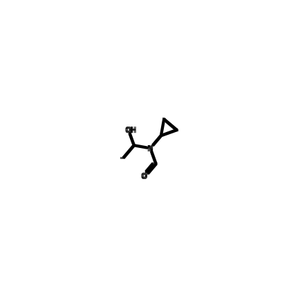 [CH2]C(O)N(C=O)C1CC1